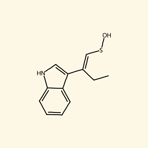 CC/C(=C\SO)c1c[nH]c2ccccc12